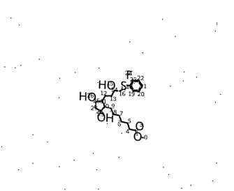 COC(=O)CCCCCC[C@@H]1C(CC[C@@H](O)CSc2ccccc2F)[C@H](O)C[C@@H]1O